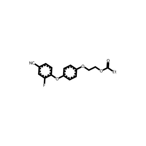 CCC(=O)OCCOc1ccc(Oc2ccc(C#N)cc2F)cc1